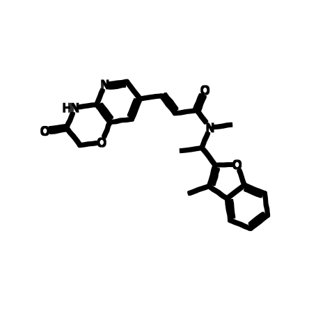 Cc1c(C(C)N(C)C(=O)C=Cc2cnc3c(c2)OCC(=O)N3)oc2ccccc12